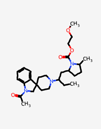 CCC(CC1CCC(C)N1C(=O)OCCOC)N1CCC2(CC1)CN(C(C)=O)c1ccccc12